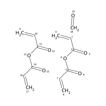 C=CC(=O)OC(=O)C=C.C=CC(=O)OC(=O)C=C.C=O